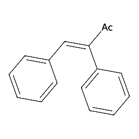 CC(=O)/C(=C/c1ccccc1)c1ccccc1